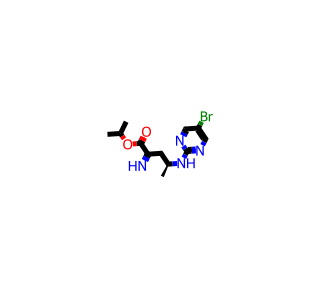 CC(C)OC(=O)C(=N)C[C@H](C)Nc1ncc(Br)cn1